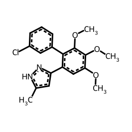 COc1cc(-c2cc(C)[nH]n2)c(-c2cccc(Cl)c2)c(OC)c1OC